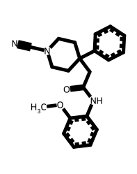 COc1ccccc1NC(=O)CC1(c2ccccc2)CCN(C#N)CC1